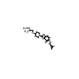 CC(=O)N[C@@H](C)COC1CCN(c2nc3ccc(OCC4CC4)c(F)c3o2)CC1